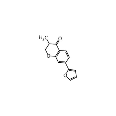 CC1COc2cc(-c3ccco3)ccc2C1=O